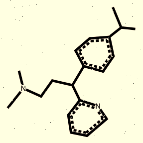 CC(C)c1ccc(C(CCN(C)C)c2ccccn2)cc1